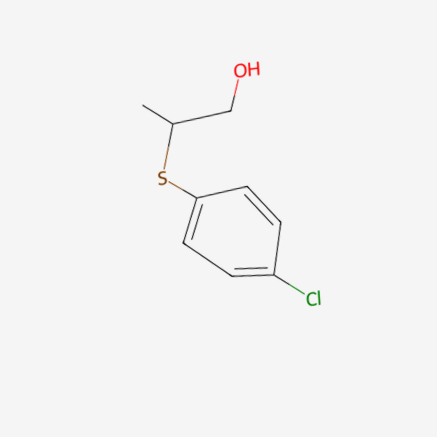 CC(CO)Sc1ccc(Cl)cc1